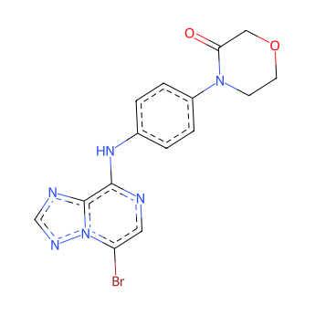 O=C1COCCN1c1ccc(Nc2ncc(Br)n3ncnc23)cc1